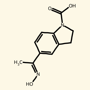 CC(=NO)c1ccc2c(c1)CCN2C(=O)O